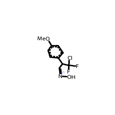 COc1ccc(C(/C=N\O)C(F)(F)Cl)cc1